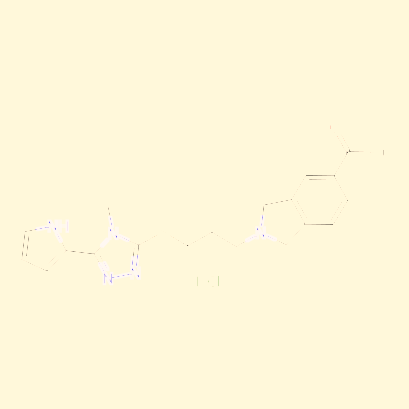 CCC(=O)c1ccc2c(c1)CN(CCCSc1nnc(-c3ccc[nH]3)n1C)C2.Cl